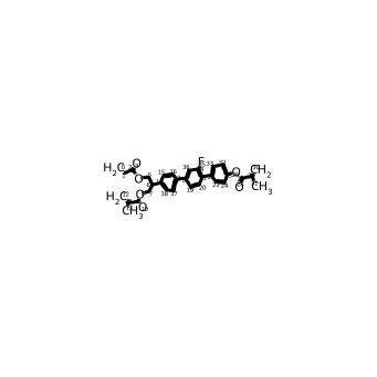 C=CC(=O)OCC(COC(=O)C(=C)C)c1ccc(-c2ccc(-c3ccc(OC(=O)C(=C)C)cc3)c(F)c2)cc1